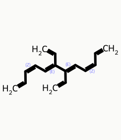 C=C\C=C/C=C(C=C)/C(C=C)=C/C=C\C=C